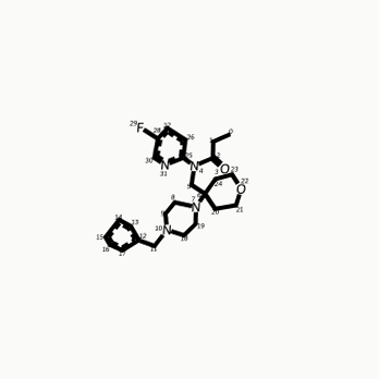 CCC(=O)N(CC1(N2CCN(Cc3ccccc3)CC2)CCOCC1)c1ccc(F)cn1